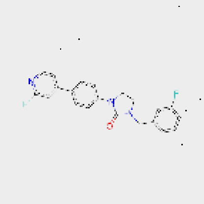 O=C1N(Cc2cccc(F)c2)CCN1c1ccc(-c2ccnc(F)c2)cc1